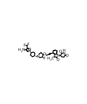 Cn1c(=O)n(C2CCC(=O)NC2=O)c2cccc(C#CCO[C@H]3CCN(C[C@H]4CC[C@H](n5cc(N)c(C(F)F)n5)CC4)C[C@@H]3F)c21